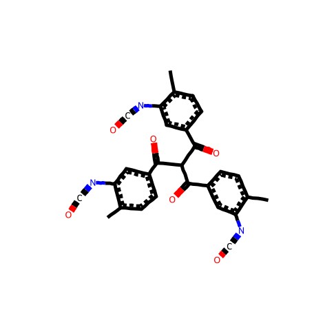 Cc1ccc(C(=O)C(C(=O)c2ccc(C)c(N=C=O)c2)C(=O)c2ccc(C)c(N=C=O)c2)cc1N=C=O